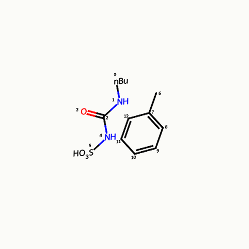 CCCCNC(=O)NS(=O)(=O)O.Cc1ccccc1